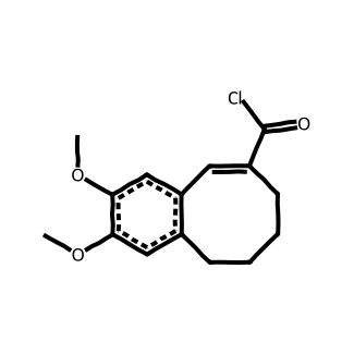 COc1cc2c(cc1OC)CCCCC(C(=O)Cl)=C2